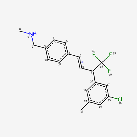 CNCc1ccc(/C=C/C(c2cc(C)cc(Cl)c2)C(F)(F)F)cc1